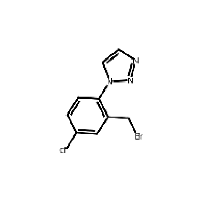 Clc1ccc(-n2ccnn2)c(CBr)c1